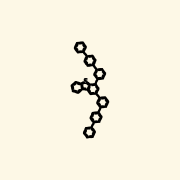 c1ccc(-c2ccc(-c3cccc(-c4cc(-c5cccc(-c6ccc(-c7ccccc7)cc6)c5)c5sc6ccccc6c5c4)c3)cc2)cc1